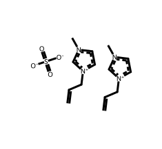 C=CC[n+]1ccn(C)c1.C=CC[n+]1ccn(C)c1.O=S(=O)([O-])[O-]